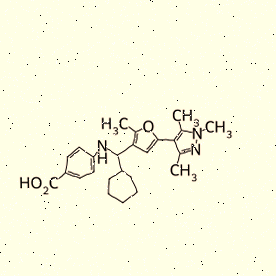 Cc1nn(C)c(C)c1-c1cc(C(Nc2ccc(C(=O)O)cc2)C2CCCCC2)c(C)o1